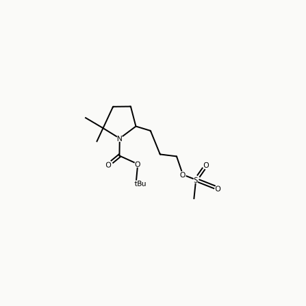 CC(C)(C)OC(=O)N1C(CCCOS(C)(=O)=O)CCC1(C)C